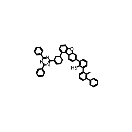 Cc1c(-c2ccccc2)cccc1-c1cccc(C2=CC3Oc4cccc(C5CCC=C(c6nc(-c7ccccc7)nc(-c7ccccc7)n6)C5)c4C3C=C2)c1S